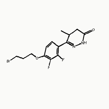 CC1CC(=O)NN=C1c1ccc(OCCCBr)c(F)c1F